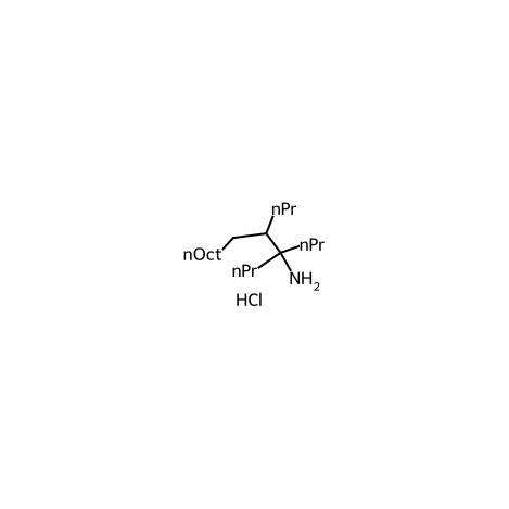 CCCCCCCCCC(CCC)C(N)(CCC)CCC.Cl